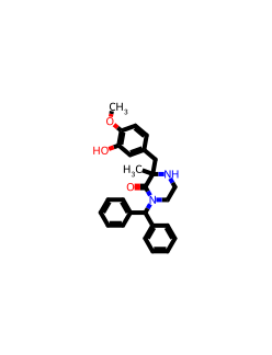 COc1ccc(CC2(C)NCCN(C(c3ccccc3)c3ccccc3)C2=O)cc1O